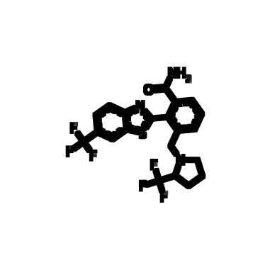 NC(=O)c1cccc(CN2CCCC2C(F)(F)F)c1-c1nc2ccc(C(F)(F)F)cc2s1